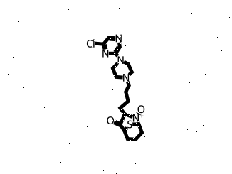 O=C1C2CCCC(S2)[N+](=O)C1CCCCN1CCN(c2cncc(Cl)n2)CC1